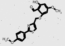 COc1ccc(-c2nc(COc3cc(OC)cc(O)c3C=O)cs2)cc1